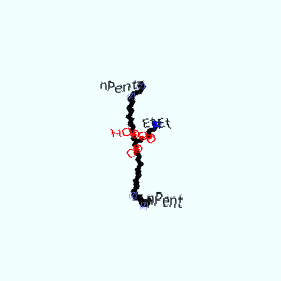 CCCCC/C=C\C/C=C\CCCCCCCC(=O)OCC(COC(=O)CCN(CC)CC)COC(O)CCCCCCC/C=C\C/C=C\CCCCC